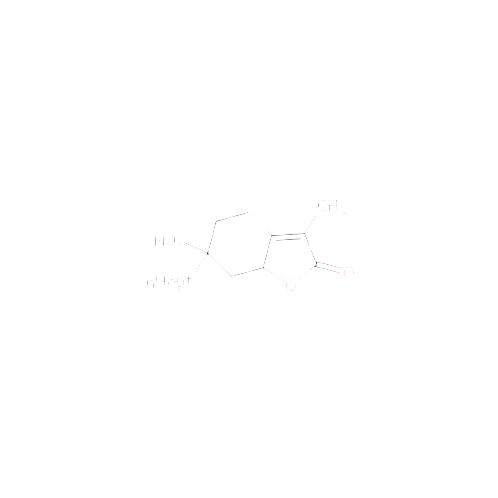 CCCCCCCC1(C)CCC2=C(C)C(=O)OC2C1